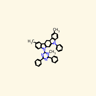 Cc1ccc2c(c1)C1Cc3c(n(C4N=C(c5ccccc5)N=C(c5ccccc5)N4C)c4ccc(C)cc34)C=C1N2c1ccccc1